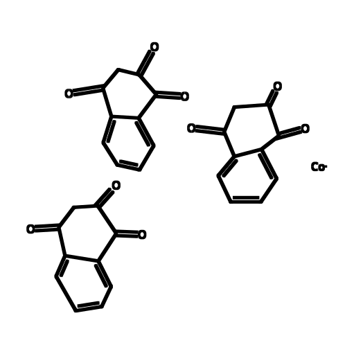 O=C1CC(=O)c2ccccc2C1=O.O=C1CC(=O)c2ccccc2C1=O.O=C1CC(=O)c2ccccc2C1=O.[Co]